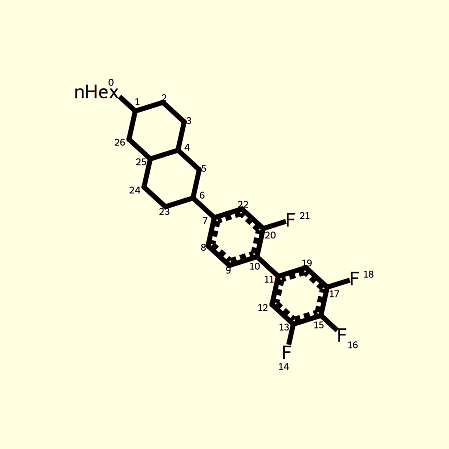 CCCCCCC1CCC2CC(c3ccc(-c4cc(F)c(F)c(F)c4)c(F)c3)CCC2C1